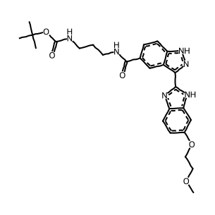 COCCOc1ccc2nc(-c3n[nH]c4ccc(C(=O)NCCCNC(=O)OC(C)(C)C)cc34)[nH]c2c1